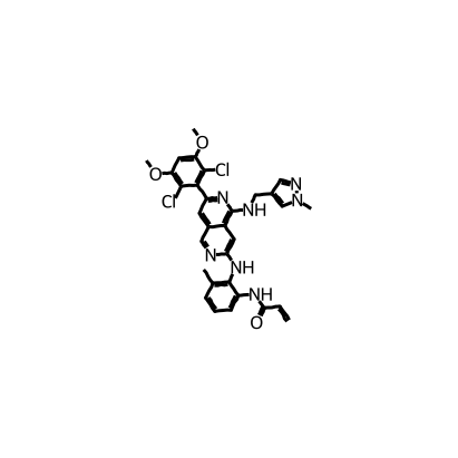 C=CC(=O)Nc1cccc(C)c1Nc1cc2c(NCc3cnn(C)c3)nc(-c3c(Cl)c(OC)cc(OC)c3Cl)cc2cn1